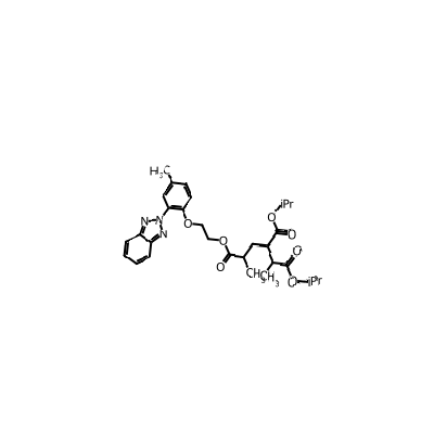 Cc1ccc(OCCOC(=O)C(C)CC(C(=O)OC(C)C)C(C)C(=O)OC(C)C)c(-n2nc3ccccc3n2)c1